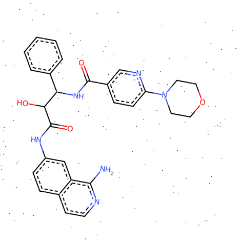 Nc1nccc2ccc(NC(=O)C(O)C(NC(=O)c3ccc(N4CCOCC4)nc3)c3ccccc3)cc12